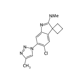 CNC1=Nc2cc(-n3cc(C)nn3)c(Cl)cc2C12CCC2